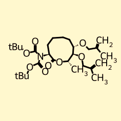 C=C(C)CO[C@H]1[C@H](C)OC(=O)[C@@H](N(C(=O)OC(C)(C)C)C(=O)OC(C)(C)C)CCCC[C@@H]1OCC(=C)C